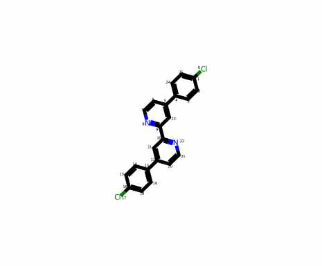 Clc1ccc(-c2ccnc(-c3cc(-c4ccc(Cl)cc4)ccn3)c2)cc1